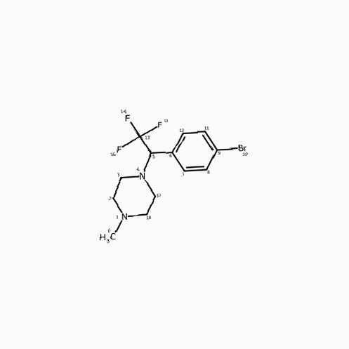 CN1CCN(C(c2ccc(Br)cc2)C(F)(F)F)CC1